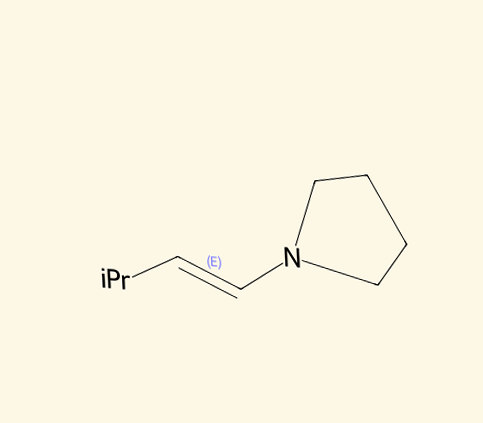 [CH2]C(C)/C=C/N1CCCC1